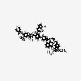 CNCc1cc(CN2CCN(C3CC4(CCN(c5cc(Oc6cnc7[nH]ccc7c6)c(C(=O)NS(=O)(=O)c6ccc(NCC7(F)CCOCC7)c([N+](=O)[O-])c6)cc5F)CC4)C3)C(c3ccccc3C(C)C)C2)ccc1OC